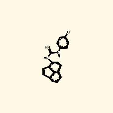 CN(C(=N)N(C)c1ccc2cccc3c2c1C=C3)c1ccc(Cl)cc1